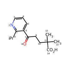 CC(C)c1ncccc1C(=O)CCC(C)(C)C(=O)O